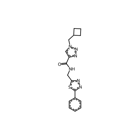 O=C(NCc1nnc(-c2ccccc2)s1)c1cn(CC2CCC2)nn1